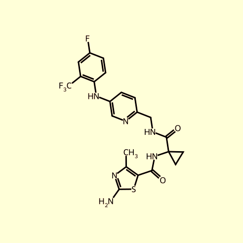 Cc1nc(N)sc1C(=O)NC1(C(=O)NCc2ccc(Nc3ccc(F)cc3C(F)(F)F)cn2)CC1